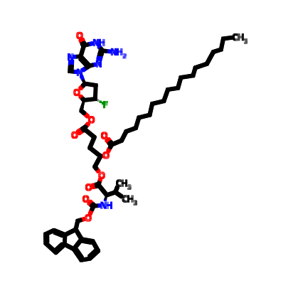 CCCCCCCCCCCCCCCCCC(=O)OC(CCC(=O)OC[C@H]1O[C@@H](n2cnc3c(=O)[nH]c(N)nc32)C[C@@H]1F)COC(=O)[C@@H](NC(=O)OCC1c2ccccc2-c2ccccc21)C(C)C